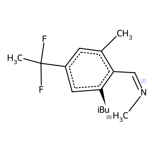 CC[C@H](C)c1cc(C(C)(F)F)cc(C)c1/C=N\C